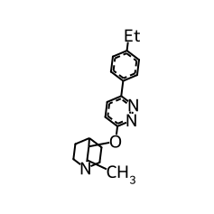 CCc1ccc(-c2ccc(OC3C4CCN(CC4)C3C)nn2)cc1